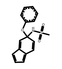 CS(=O)(=O)NC1(Oc2ccccc2)C=CC2=CC=CC2=C1